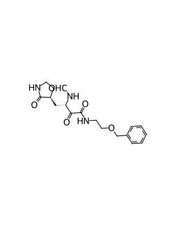 O=CN[C@@H](C[C@@H]1CCNC1=O)C(=O)C(=O)NCCOCc1ccccc1